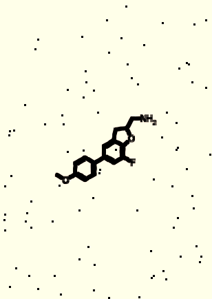 COc1ccc(-c2cc(F)c3c(c2)CC(CN)O3)cc1